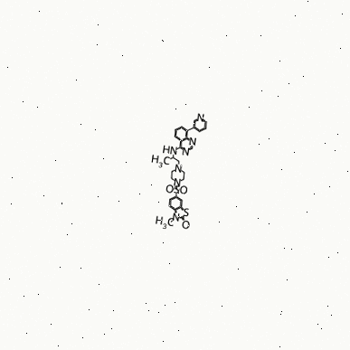 CC(CN1CCN(S(=O)(=O)c2ccc3c(c2)sc(=O)n3C)CC1)Nc1ncnc2c(-c3cccnc3)cccc12